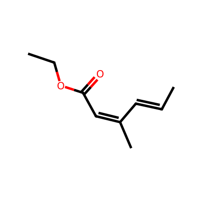 C/C=C/C(C)=C\C(=O)OCC